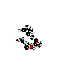 CCOP(=O)(CC1CCN(CC[C@H](CSc2ccccc2)Nc2ccc([P@]3(=O)OCCN3c3ccc(N4CCN(c5cccc(-c6c(C(=O)O)c(C)n(C(C)C)c6-c6ccc(Cl)cc6)c5)CC4)cc3)cc2S(=O)(=O)C(F)(F)F)CC1)OCC